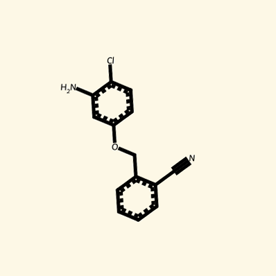 N#Cc1ccccc1COc1ccc(Cl)c(N)c1